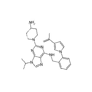 C=C(C)c1ccn(-c2ccccc2CNc2nc(N3CCC(N)CC3)nc3c2ncn3C(C)C)c1